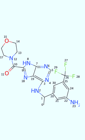 CC(Nc1ncnc2[nH]c(C(=O)N3CCOCC3)nc12)c1cc(N)cc(C(F)(F)F)c1